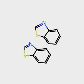 c1ccc2scnc2c1.c1ccc2scnc2c1